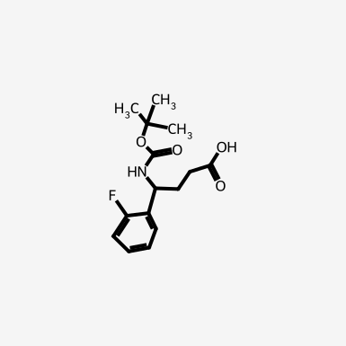 CC(C)(C)OC(=O)NC(CCC(=O)O)c1ccccc1F